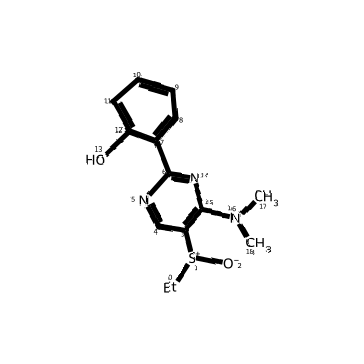 CC[S+]([O-])c1cnc(-c2ccccc2O)nc1N(C)C